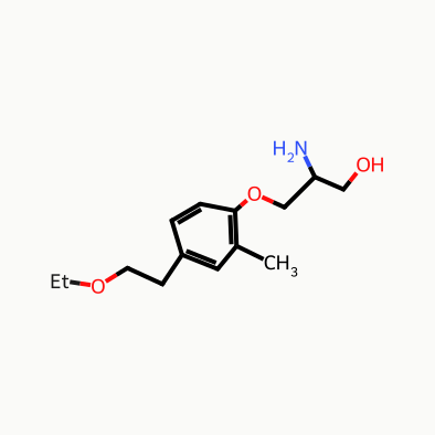 CCOCCc1ccc(OCC(N)CO)c(C)c1